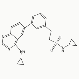 O=S(=O)(CCc1cccc(-c2ccc3ncnc(NC4CC4)c3c2)c1)NC1CC1